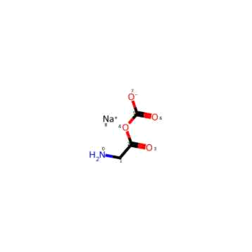 NCC(=O)OC(=O)[O-].[Na+]